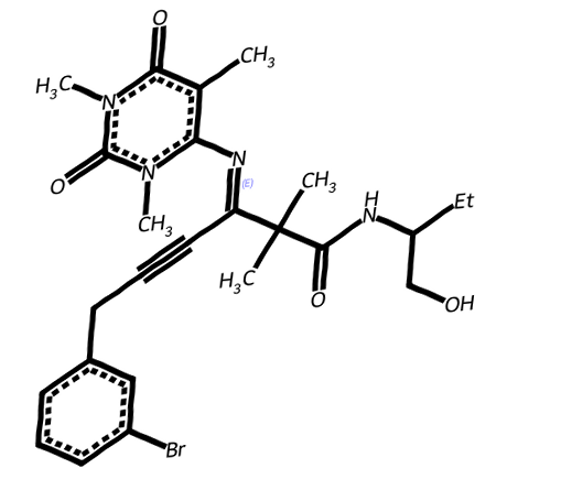 CCC(CO)NC(=O)C(C)(C)/C(C#CCc1cccc(Br)c1)=N/c1c(C)c(=O)n(C)c(=O)n1C